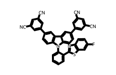 N#Cc1cc(C#N)cc(-c2ccc3c(c2)c2cc(-c4cc(C#N)cc(C#N)c4)ccc2n3-c2ccccc2-c2nc3ccc(F)cc3s2)c1